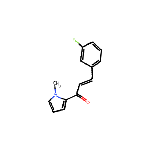 Cn1cccc1C(=O)/C=C/c1cccc(F)c1